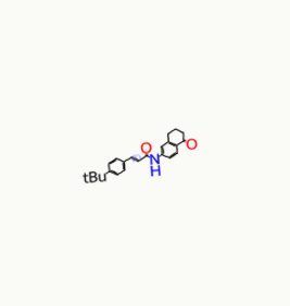 CC(C)(C)c1ccc(/C=C/C(=O)Nc2ccc3c(c2)CCCC3=O)cc1